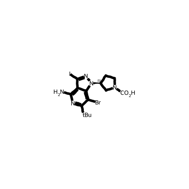 CC(C)(C)c1nc(N)c2c(I)nn([C@H]3CCN(C(=O)O)C3)c2c1Br